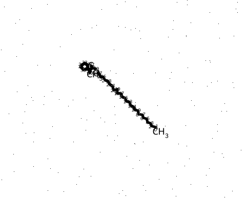 CCCCCCCCCCCCCCCCCCCCCCCCCCCCOCc1sc2ccccc2c1C